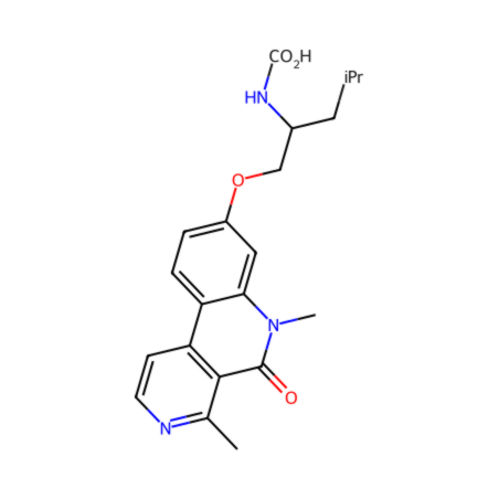 Cc1nccc2c1c(=O)n(C)c1cc(OCC(CC(C)C)NC(=O)O)ccc21